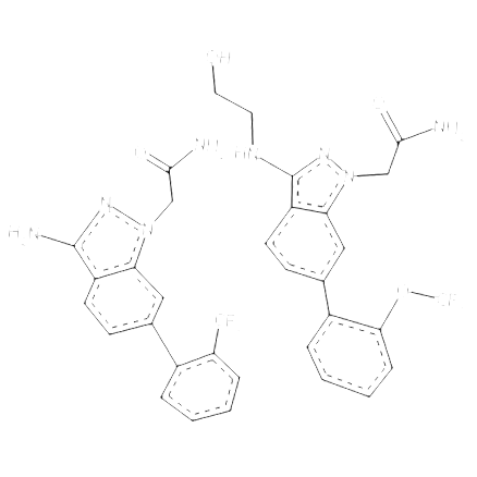 NC(=O)Cn1nc(N)c2ccc(-c3ccccc3C(F)(F)F)cc21.NC(=O)Cn1nc(NCCO)c2ccc(-c3ccccc3OC(F)(F)F)cc21